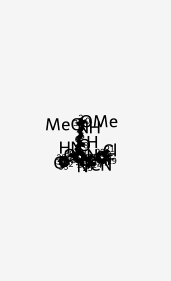 COC(C)(NCC=CC(=O)Nc1cc2c(Nc3ccc(F)c(Cl)c3)c(C#N)cnc2cc1O[C@H]1CCOC1)OC